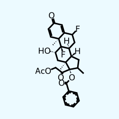 CC(=O)OCC(=O)[C@]1(OC(=O)c2ccccc2)C(C)C[C@H]2[C@@H]3CC(F)C4=CC(=O)C=C[C@]4(C)[C@@]3(F)[C@@H](O)C[C@@]21C